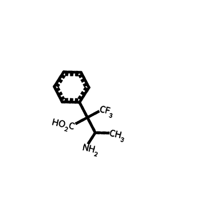 CC(N)C(C(=O)O)(c1ccccc1)C(F)(F)F